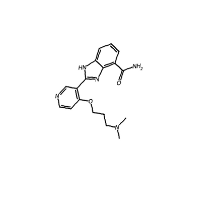 CN(C)CCCOc1ccncc1-c1nc2c(C(N)=O)cccc2[nH]1